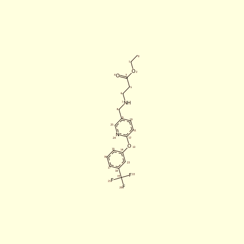 CCOC(=O)CCNCc1ccc(Oc2cccc(C(F)(F)F)c2)nc1